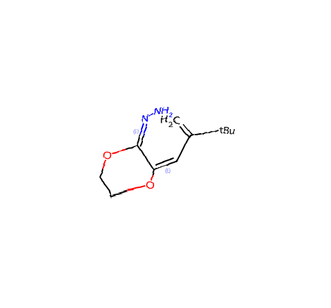 C=C(/C=C1/OCCO/C1=N/N)C(C)(C)C